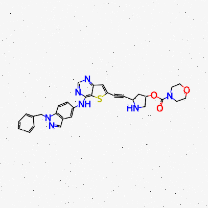 O=C(OC1CNC(C#Cc2cc3ncnc(Nc4ccc5c(cnn5Cc5ccccc5)c4)c3s2)C1)N1CCOCC1